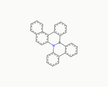 c1ccc2c(c1)B1c3ccccc3-c3c(ccc4ccccc34)N1c1ccccc1-2